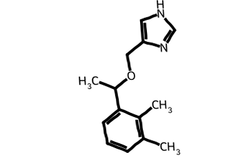 Cc1cccc(C(C)OCc2c[nH]cn2)c1C